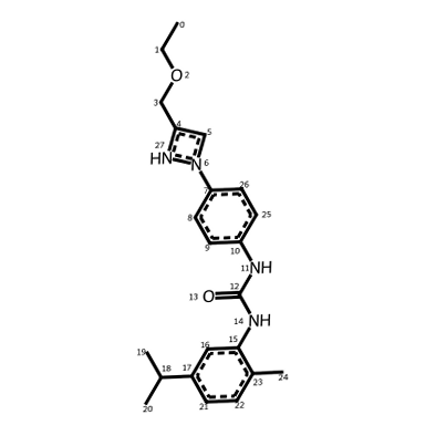 CCOCc1cn(-c2ccc(NC(=O)Nc3cc(C(C)C)ccc3C)cc2)[nH]1